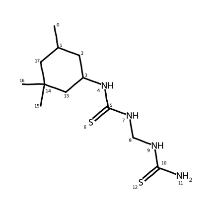 CC1CC(NC(=S)NCNC(N)=S)CC(C)(C)C1